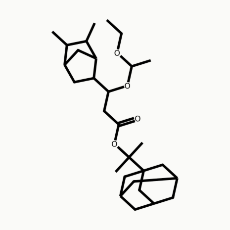 CCOC(C)OC(CC(=O)OC(C)(C)C12CC3CC(CC(C3)C1)C2)C1CC2CC1C(C)C2C